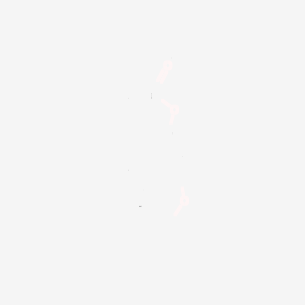 Cc1oc2c(C)c3oc(=O)cc(C)c3cc2c1C